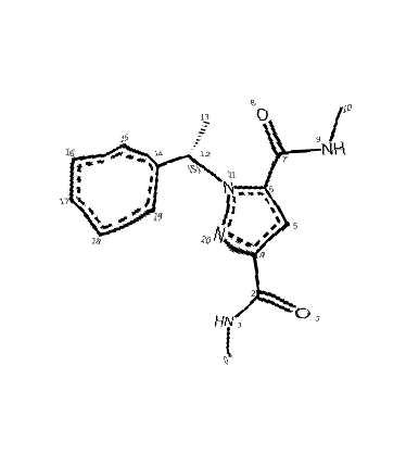 CNC(=O)c1cc(C(=O)NC)n([C@@H](C)c2ccccc2)n1